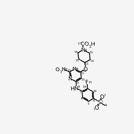 CS(=O)(=O)c1ccc(Nc2cc(OC3CCN(C(=O)O)CC3)nc([N+](=O)[O-])n2)c(F)c1